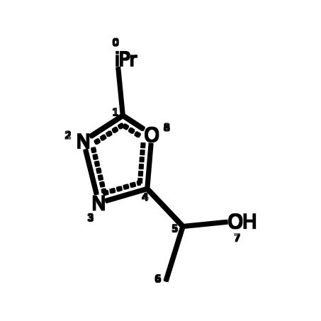 CC(C)c1nnc(C(C)O)o1